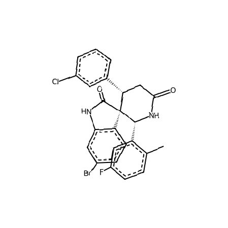 Cc1ccc(F)cc1[C@H]1NC(=O)C[C@@H](c2cccc(Cl)c2)[C@]12C(=O)Nc1cc(Br)ccc12